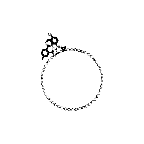 Cc1ccc(-c2ncccn2)c(C(=O)N2CCCCCCCCCCCCCCCCCCCCCCCCCCCCCCCCCCCCCCCCCCCCCCCCC3(CC3)C[C@H]2CNc2ccc(Cl)cn2)c1